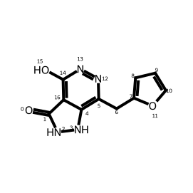 O=c1[nH][nH]c2c(Cc3ccco3)nnc(O)c12